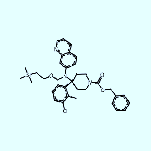 Cc1c(Cl)cccc1C1(N(COCC[Si](C)(C)C)c2ccc3cccnc3c2)CCN(C(=O)OCc2ccccc2)CC1